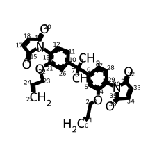 C=CCOc1cc(C(C)(C)c2ccc(N3C(=O)C=CC3=O)c(OCC=C)c2)ccc1N1C(=O)C=CC1=O